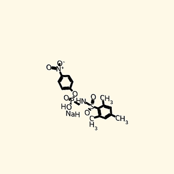 Cc1cc(C)c(S(=O)(=O)NCP(=O)(O)Oc2ccc([N+](=O)[O-])cc2)c(C)c1.[NaH]